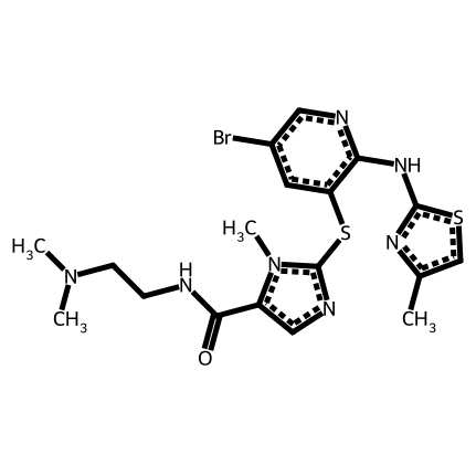 Cc1csc(Nc2ncc(Br)cc2Sc2ncc(C(=O)NCCN(C)C)n2C)n1